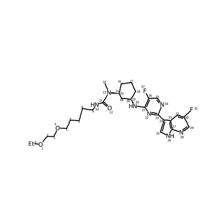 CCOCCOCCCCCNC(=O)N(C)[C@H]1CCC[C@@H](Nc2nc(-c3c[nH]c4ncc(F)cc34)ncc2F)C1